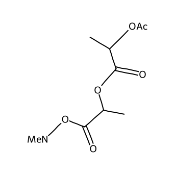 CNOC(=O)C(C)OC(=O)C(C)OC(C)=O